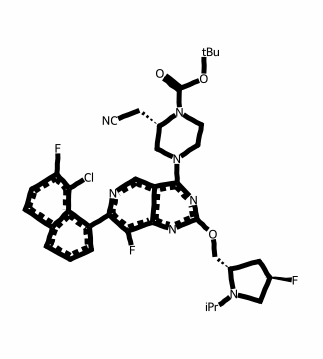 CC(C)N1C[C@H](F)C[C@H]1COc1nc(N2CCN(C(=O)OC(C)(C)C)[C@@H](CC#N)C2)c2cnc(-c3cccc4ccc(F)c(Cl)c34)c(F)c2n1